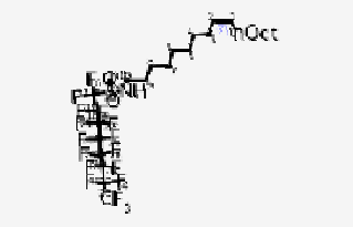 CCCCCCCC/C=C\CCCCCCCCNS(=O)(=O)C(F)(F)C(F)(F)C(F)(F)C(F)(F)C(F)(F)C(F)(F)C(F)(F)C(F)(F)F